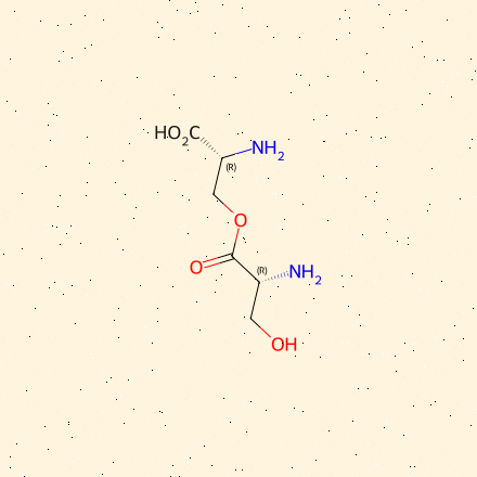 N[C@H](COC(=O)[C@H](N)CO)C(=O)O